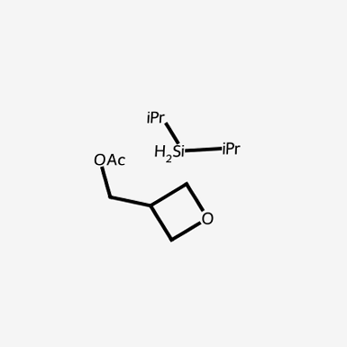 CC(=O)OCC1COC1.CC(C)[SiH2]C(C)C